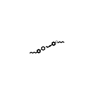 CCCCCOc1ccc(C#CC=C[C@H]2CC[C@H](c3ccc(CCCCC)cc3)CC2)cc1